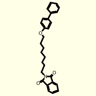 O=C1c2ccccc2C(=O)N1CCCCCCCCOc1ccc(-c2ccccc2)cc1